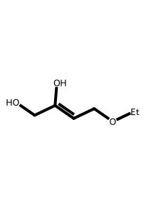 CCOCC=C(O)CO